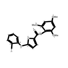 COc1cc(OC)c(NC(=O)c2ccc(Oc3ccccc3I)o2)c(OC)c1